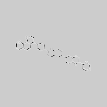 c1cnc2c(c1)ccc1c(-c3ccc(-c4ccc5cc(-c6ccc7nc(-c8ccncn8)ccc7c6)ccc5n4)cc3)ccnc12